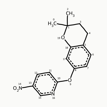 CC1(C)CCc2ccc(Oc3ccc([N+](=O)[O-])cn3)cc2O1